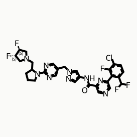 O=C(Nc1cnn(Cc2cnc(N3CCCC3CN3C[C@H](F)[C@@H](F)C3)nc2)c1)c1cncc(-c2c(C(F)F)ccc(Cl)c2F)n1